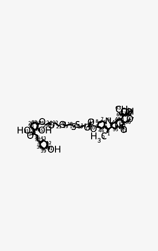 CCc1c2c(nc3ccc(OC(=O)OCCSSCCOCCOCCOc4ccc(O)c(C(=O)CCc5ccc(O)cc5)c4O)cc13)-c1cc3c(c(=O)n1C2)COC(=O)[C@]3(O)CC